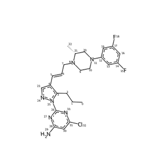 CCCc1c(/C=C/CN2CCN(c3cc(F)cc(F)c3)C[C@H]2C)cnn1-c1nc(N)cc(Cl)n1